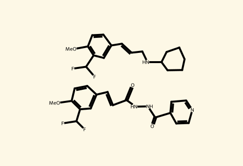 COc1ccc(C=CC(=O)NNC(=O)c2ccncc2)cc1C(F)F.COc1ccc(C=CCNC2CCCCC2)cc1C(F)F